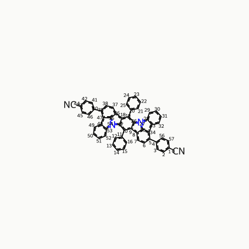 N#Cc1ccc(-c2ccc3c4c(-c5ccccc5)c5c(c(-c6ccccc6)c4n4c6ccccc6c2c34)c2ccc(-c3ccc(C#N)cc3)c3c4ccccc4n5c23)cc1